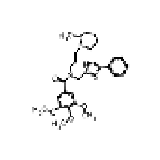 COc1cc(C(=O)N(CCCN2CCCCC2C)Cc2ncc(-c3ccccc3)s2)cc(OC)c1OC